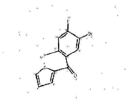 O=C(c1cccs1)c1cc(Br)c(F)cc1F